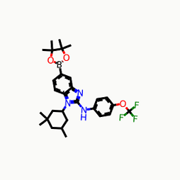 CC1CC(n2c(Nc3ccc(OC(F)(F)F)cc3)nc3cc(B4OC(C)(C)C(C)(C)O4)ccc32)CC(C)(C)C1